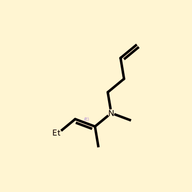 C=CCCN(C)/C(C)=C/CC